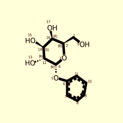 OC[C@H]1O[C@H](Oc2cc[c]cc2)[C@H](O)[C@@H](O)[C@H]1O